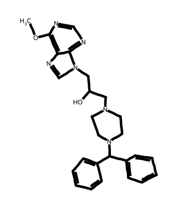 COc1ncnc2c1ncn2CC(O)CN1CCN(C(c2ccccc2)c2ccccc2)CC1